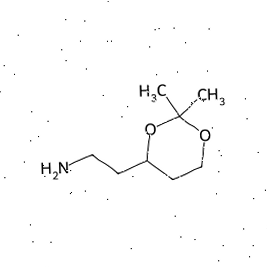 CC1(C)OCCC(CCN)O1